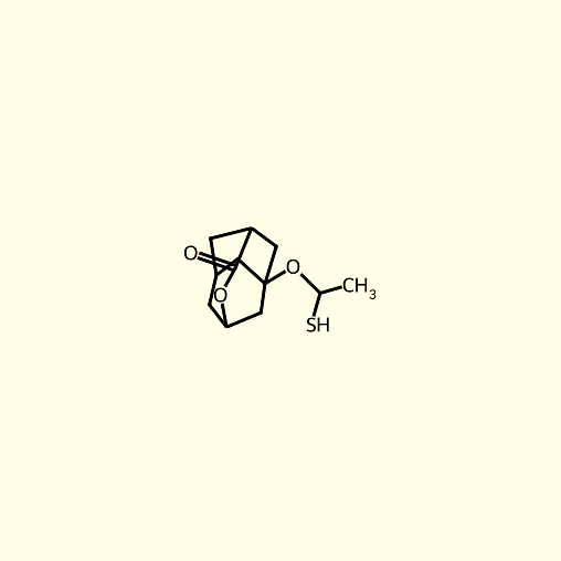 CC(S)OC12CC3CC(C1)OC(=O)C(C3)C2